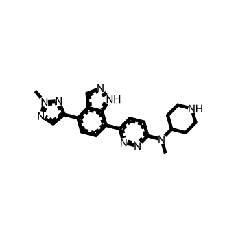 CN(c1ccc(-c2ccc(-c3cnn(C)n3)c3cn[nH]c23)nn1)C1CCNCC1